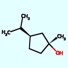 CC(C)[C@@H]1CC[C@](C)(O)C1